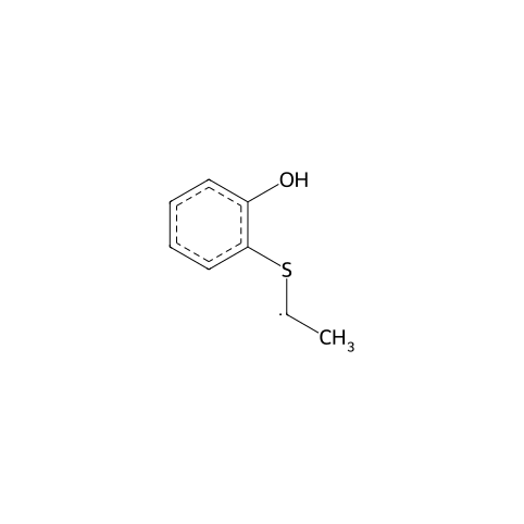 C[CH]Sc1ccccc1O